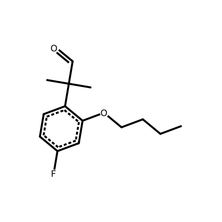 CCCCOc1cc(F)ccc1C(C)(C)C=O